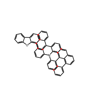 c1ccc(-c2cccc3cccc(-c4ccccc4N(c4cccc(-c5cccc6c5oc5ccccc56)c4)c4ccccc4-c4cccc5ccccc45)c23)cc1